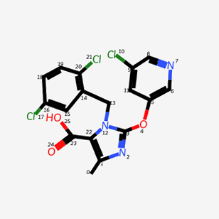 Cc1nc(Oc2cncc(Cl)c2)n(Cc2cc(Cl)ccc2Cl)c1C(=O)O